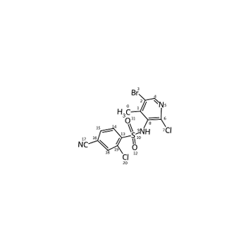 Cc1c(Br)cnc(Cl)c1NS(=O)(=O)c1ccc(C#N)cc1Cl